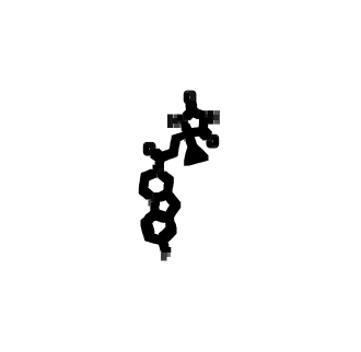 O=C1NC(=O)[C@](CCC(=O)N2CCN3c4ccc(F)cc4CC3C2)(C2CC2)N1